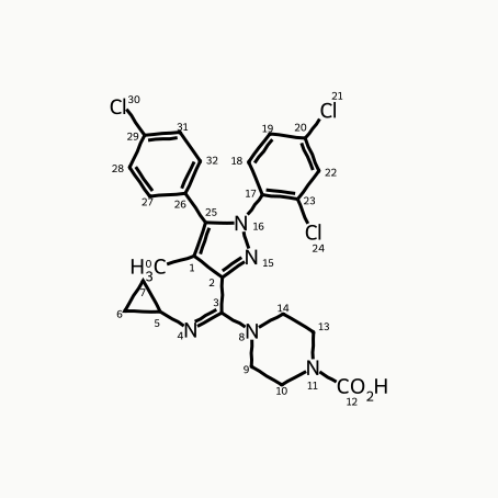 Cc1c(C(=NC2CC2)N2CCN(C(=O)O)CC2)nn(-c2ccc(Cl)cc2Cl)c1-c1ccc(Cl)cc1